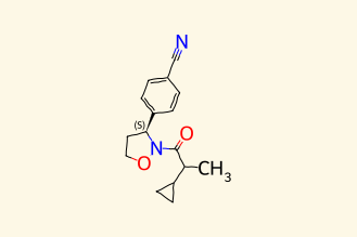 CC(C(=O)N1OCC[C@H]1c1ccc(C#N)cc1)C1CC1